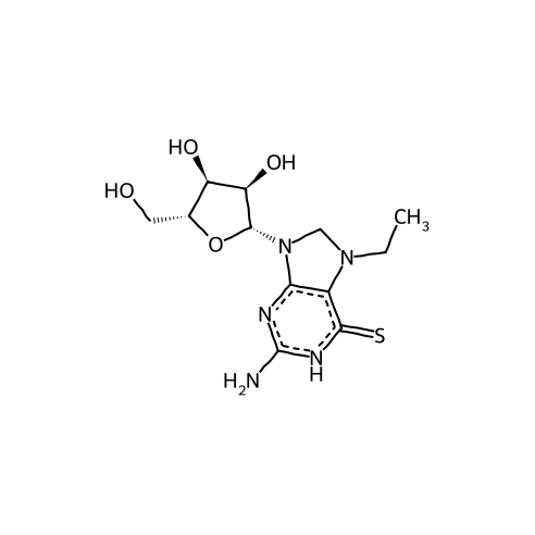 CCN1CN([C@@H]2O[C@H](CO)[C@@H](O)[C@H]2O)c2nc(N)[nH]c(=S)c21